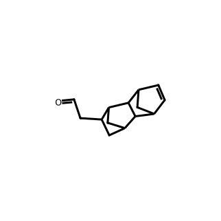 O=CCC1CC2CC1C1C3C=CC(C3)C21